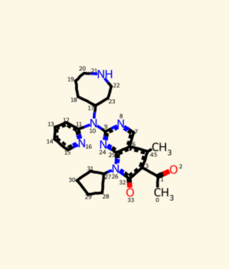 CC(=O)c1c(C)c2cnc(N(c3ccccn3)C3CCCNCC3)nc2n(C2CCCC2)c1=O